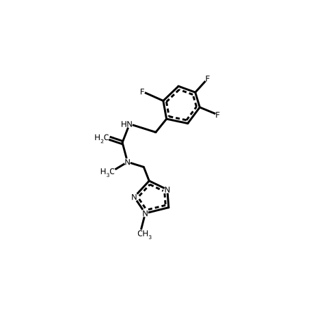 C=C(NCc1cc(F)c(F)cc1F)N(C)Cc1ncn(C)n1